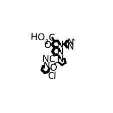 Cn1cc(-n2cc(C(=O)O)c(=O)c3cc(C#N)c(N4CCC[C@H]4COc4ncccc4Cl)nc32)cn1